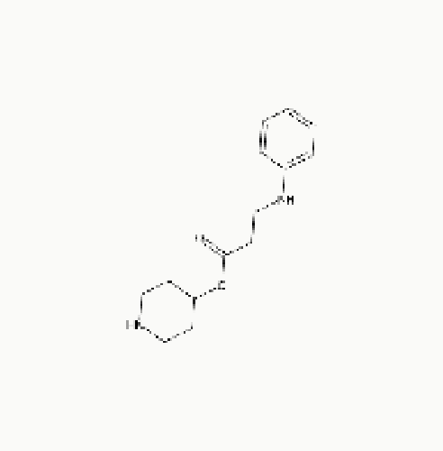 O=C(CCNc1ccccc1)OC1CCNCC1